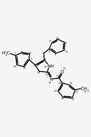 Cc1ccc(C2=C(Cc3ccccc3)N/C(=N\C(=O)c3cccc(C)c3)C2)cc1